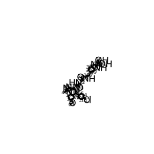 COc1ccc2c(c1)C(c1ccc(Cl)cc1)=N[C@@H](CC(=O)NCC(=O)NCCc1ccc3nc(B(O)O)[nH]c3c1)c1nnc(C)n1-2